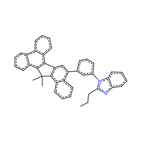 CCCc1nc2ccccc2n1-c1cccc(-c2cc3c(c4ccccc24)C(C)(C)c2c-3c3ccccc3c3ccccc23)c1